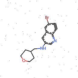 Brc1c#cc2ncc(NCC3CCOCC3)cc2c1